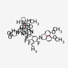 COc1ccc(CN(Cc2ccc(OC)cc2)c2cc(-c3nc4c5c(nc(N6CCS(=O)(=O)CC6)nc5c3F)N3C[C@H]5CC[C@@H]([C@H]3[C@H](C)O4)N5C(=O)OC(C)(C)C)c(C(F)(F)F)c(C)c2F)cc1